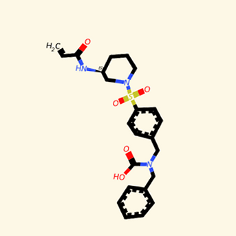 C=CC(=O)N[C@H]1CCCN(S(=O)(=O)c2ccc(CN(Cc3ccccc3)C(=O)O)cc2)C1